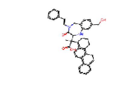 CC(C(=O)O)(C1=c2ccc3c(c2CCC1)CC=c1ccccc1=3)C1Nc2cc(CO)ccc2CN(C=Cc2ccccc2)C1=O